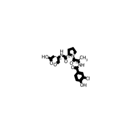 C[C@H](NC(=O)c1ccc(O)c(Cl)c1)C(=O)N1CCC[C@H]1C(=O)N[C@H](C=O)CC(=O)O